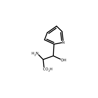 NC(C(=O)O)C(O)c1ccccn1